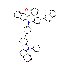 c1ccc(-n2c3cc(-c4ccc(N(c5ccc(-c6ccc7ccccc7c6)cc5)c5cc6ccccc6c6oc7ccccc7c56)cc4)ccc3c3ccc4ccccc4c32)cc1